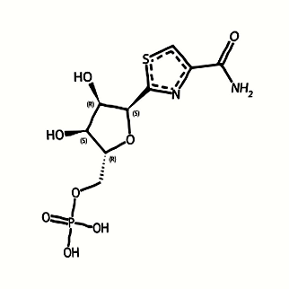 NC(=O)c1csc([C@H]2O[C@H](COP(=O)(O)O)[C@@H](O)[C@H]2O)n1